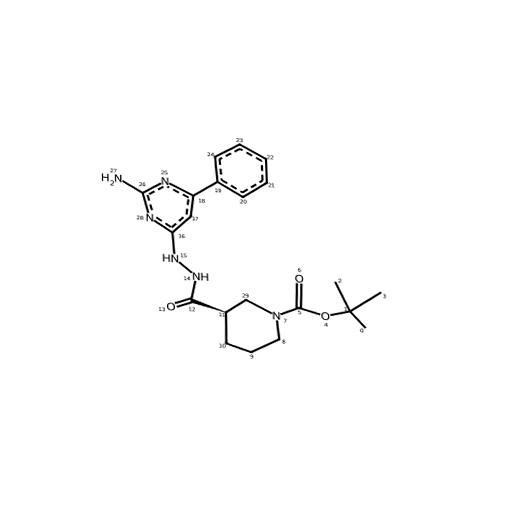 CC(C)(C)OC(=O)N1CCC[C@@H](C(=O)NNc2cc(-c3ccccc3)nc(N)n2)C1